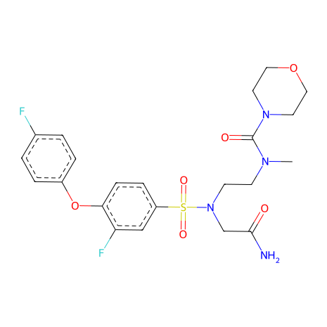 CN(CCN(CC(N)=O)S(=O)(=O)c1ccc(Oc2ccc(F)cc2)c(F)c1)C(=O)N1CCOCC1